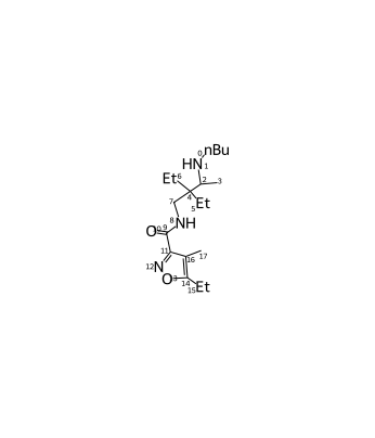 CCCCNC(C)C(CC)(CC)CNC(=O)c1noc(CC)c1C